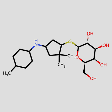 CC1CCC(NC2CC(S[C@@H]3O[C@H](CO)[C@H](O)[C@H](O)[C@H]3O)C(C)(C)C2)CC1